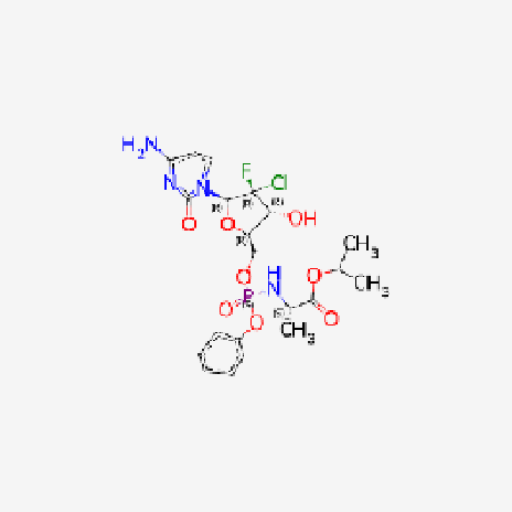 CC(C)OC(=O)[C@H](C)N[P@](=O)(OC[C@H]1O[C@@H](n2ccc(N)nc2=O)[C@](F)(Cl)[C@@H]1O)Oc1ccccc1